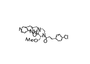 COCC1C(=O)N(Cc2cc3cnccc3[nH]2)CCN1C(=O)/C=C/c1ccc(Cl)cc1